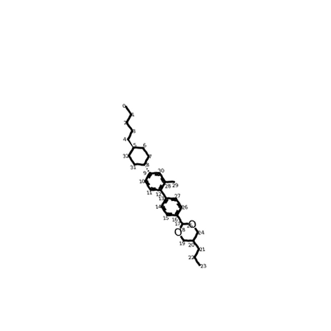 CCCCC[C@H]1CC[C@H](c2ccc(-c3ccc(C4OCC(CCC)CO4)cc3)c(C)c2)CC1